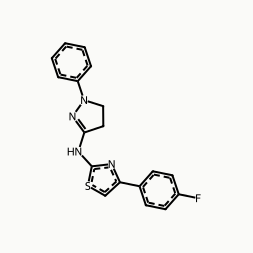 Fc1ccc(-c2csc(NC3=NN(c4ccccc4)CC3)n2)cc1